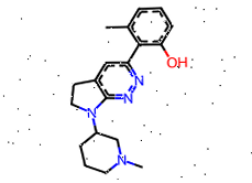 Cc1cccc(O)c1-c1cc2c(nn1)N(C1CCCN(C)C1)CC2